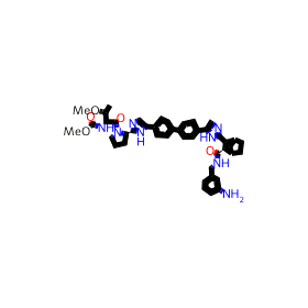 COC(=O)N[C@H](C(=O)N1CCC[C@H]1c1ncc(-c2ccc(-c3ccc(-c4cnc(C5C6CCC(C6)[C@@H]5C(=O)NCc5cccc(N)c5)[nH]4)cc3)cc2)[nH]1)C(C)OC